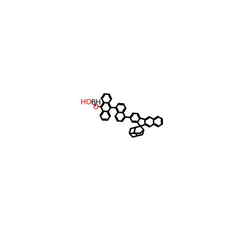 OBOc1c2ccccc2c(-c2cccc3c(-c4ccc5c(c4)C4(c6cc7ccccc7cc6-5)C5CC6CC(C5)CC4C6)cccc23)c2ccccc12